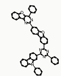 c1ccc(-c2nc(-c3ccc4oc5cc(-c6nc(-c7ccccc7)c7oc8ccccc8c7n6)ccc5c4c3)nc(-c3ccc4c5ccccc5n(-c5ccccc5)c4c3)n2)cc1